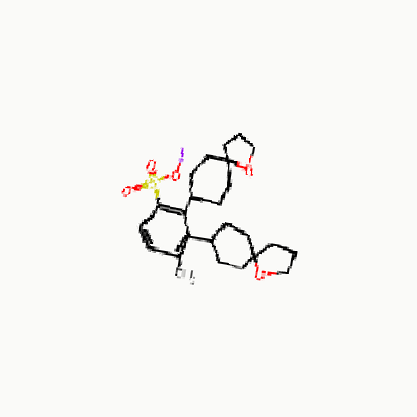 Cc1ccc(S(=O)(=O)OI)c(C2CCC3(CCCO3)CC2)c1C1CCC2(CCCO2)CC1